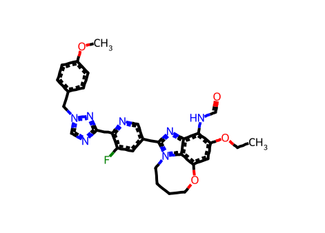 CCOc1cc2c3c(nc(-c4cnc(-c5ncn(Cc6ccc(OC)cc6)n5)c(F)c4)n3CCCCO2)c1NC=O